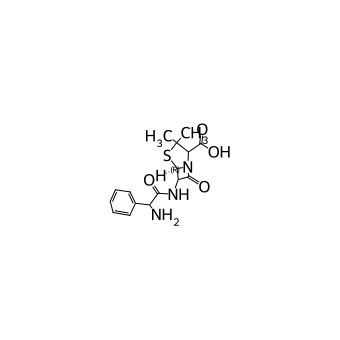 CC1(C)S[C@@H]2C(NC(=O)C(N)c3ccccc3)C(=O)N2C1C(=O)O